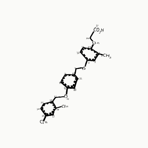 Cc1cc(SCc2ccc(OCc3ccc(Cl)cc3Cl)cc2)ccc1OCC(=O)O